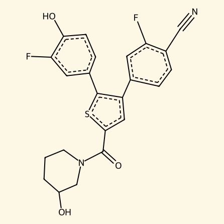 N#Cc1ccc(-c2cc(C(=O)N3CCCC(O)C3)sc2-c2ccc(O)c(F)c2)cc1F